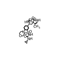 CCC1(CC(NC=O)c2ccc(N3CCOCC3)c(S(=O)(=O)NC(=O)NC3CC3)c2)C(=O)NC=C1C